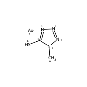 Cn1nnnc1S.[Au]